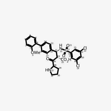 COc1ccccc1-c1ccc([C@H](NS(=O)(=O)c2cc(Cl)cc(Cl)c2)[C@H](C(=O)O)C(=O)C2CCCN2)cc1